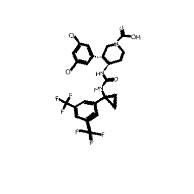 O=C(N[C@@H]1CCN(C(=O)O)C[C@H]1c1cc(Cl)cc(Cl)c1)NC1(c2cc(C(F)(F)F)cc(C(F)(F)F)c2)CC1